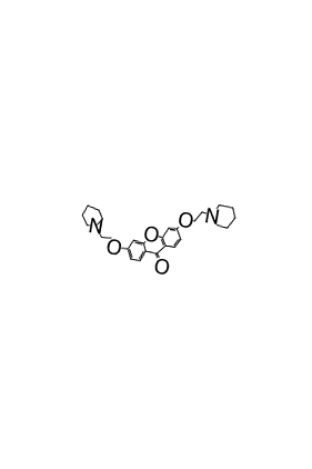 O=c1c2ccc(OCCN3CCCCC3)cc2oc2cc(OCCN3CCCCC3)ccc12